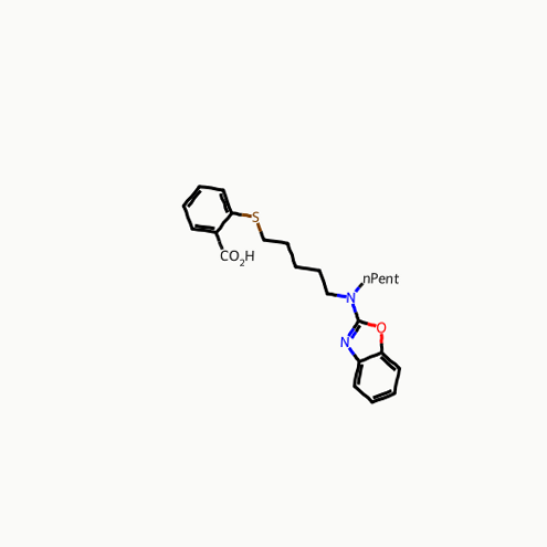 CCCCCN(CCCCCSc1ccccc1C(=O)O)c1nc2ccccc2o1